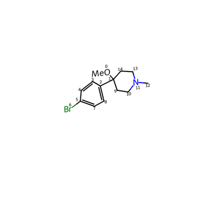 COC1(c2ccc(Br)cc2)CCN(C)CC1